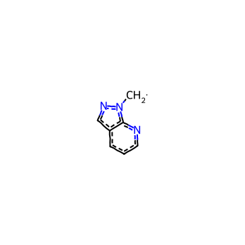 [CH2]n1ncc2cccnc21